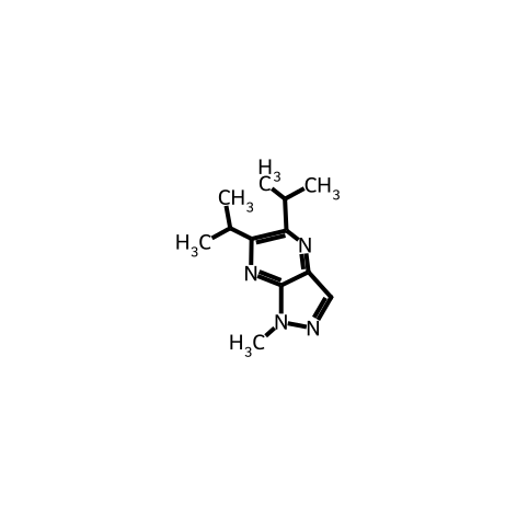 CC(C)c1nc2cnn(C)c2nc1C(C)C